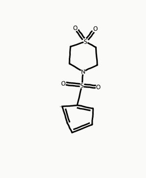 O=S1(=O)CCN(S(=O)(=O)c2[c]cccc2)CC1